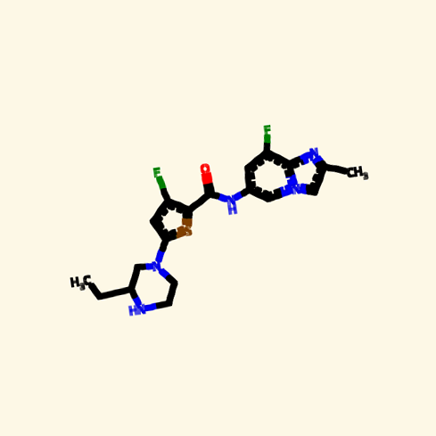 CCC1CN(c2cc(F)c(C(=O)Nc3cc(F)c4nc(C)cn4c3)s2)CCN1